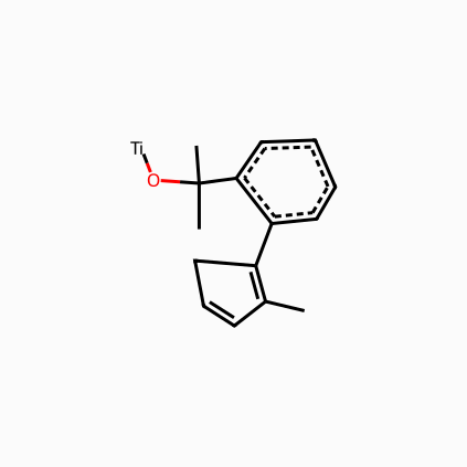 CC1=C(c2ccccc2C(C)(C)[O][Ti])CC=C1